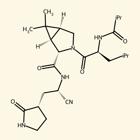 CC(C)C[C@H](NC(=O)C(C)C)C(=O)N1C[C@H]2[C@@H]([C@H]1C(=O)N[C@H](C#N)C[C@@H]1CCNC1=O)C2(C)C